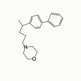 CC(CCCN1CCOCC1)c1ccc(-c2ccccc2)cc1